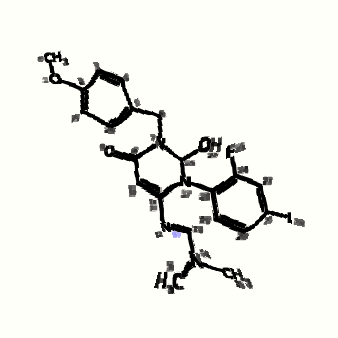 COc1ccc(CN2C(=O)C=C(/N=C/N(C)C)N(c3ccc(I)cc3F)C2O)cc1